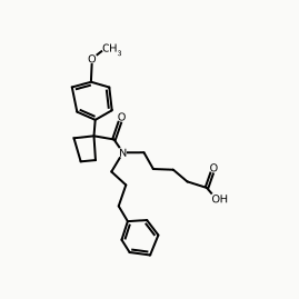 COc1ccc(C2(C(=O)N(CCCCC(=O)O)CCCc3ccccc3)CCC2)cc1